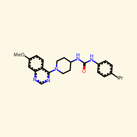 COc1ccc2c(N3CCC(NC(=O)Nc4ccc(C(C)C)cc4)CC3)ncnc2c1